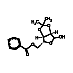 CC1(C)O[C@@H]2[C@@H](COC(=O)c3ccccc3)OC(O)[C@@H]2O1